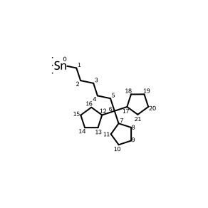 [Sn][CH2]CCCCC(C1CCCC1)(C1CCCC1)C1CCCC1